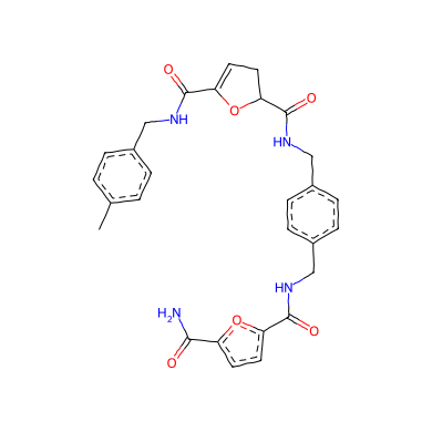 Cc1ccc(CNC(=O)C2=CCC(C(=O)NCc3ccc(CNC(=O)c4ccc(C(N)=O)o4)cc3)O2)cc1